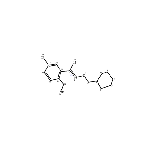 CC/C(=N\OCC1CCCCC1)c1cc(Cl)ccc1CC(C)=O